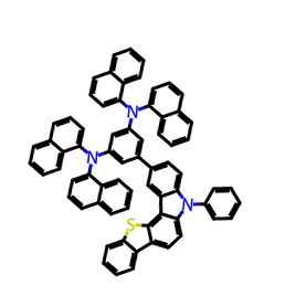 c1ccc(-n2c3ccc(-c4cc(N(c5cccc6ccccc56)c5cccc6ccccc56)cc(N(c5cccc6ccccc56)c5cccc6ccccc56)c4)cc3c3c4sc5ccccc5c4ccc32)cc1